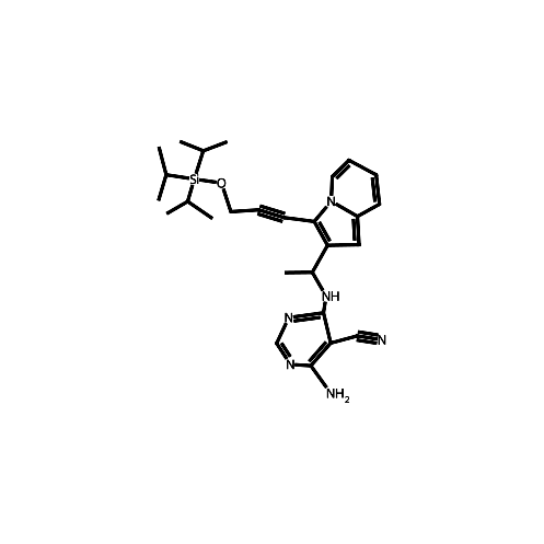 CC(Nc1ncnc(N)c1C#N)c1cc2ccccn2c1C#CCO[Si](C(C)C)(C(C)C)C(C)C